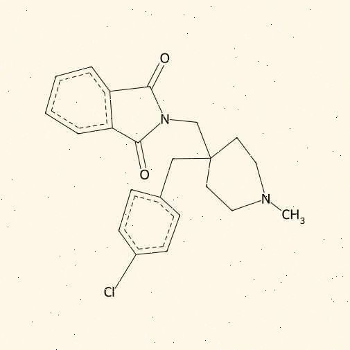 CN1CCC(Cc2ccc(Cl)cc2)(CN2C(=O)c3ccccc3C2=O)CC1